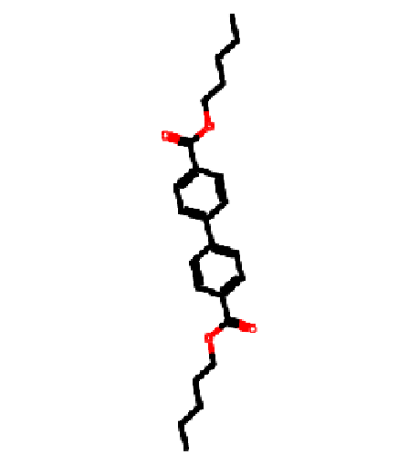 CCCCCOC(=O)c1ccc(-c2ccc(C(=O)OCCCCC)cc2)cc1